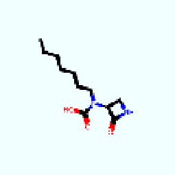 CCCCCCCN(C(=O)O)[C@H]1CNC1=O